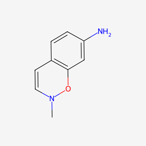 CN1C=Cc2ccc(N)cc2O1